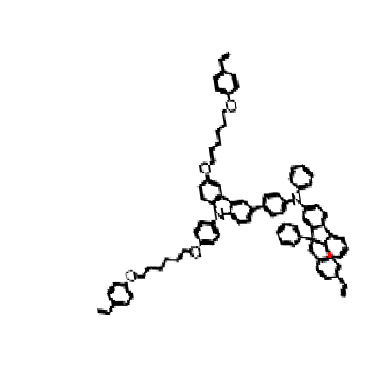 C=Cc1ccc(CC2(c3ccccc3)c3ccccc3-c3ccc(N(c4ccccc4)c4ccc(-c5ccc6c(c5)c5cc(OCCCCCCOc7ccc(C=C)cc7)ccc5n6-c5ccc(OCCCCCCOc6ccc(C=C)cc6)cc5)cc4)cc32)cc1